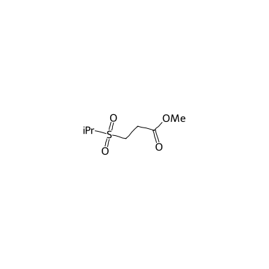 COC(=O)CCS(=O)(=O)C(C)C